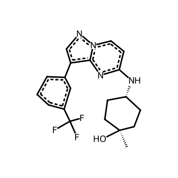 C[C@]1(O)CC[C@H](Nc2ccn3ncc(-c4cccc(C(F)(F)F)c4)c3n2)CC1